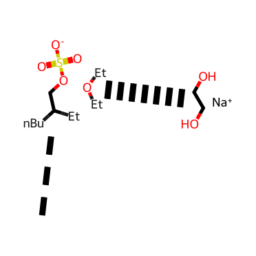 C=C.C=C.C=C.C=C.C=C.C=C.C=C.C=C.C=C.C=C.CCCCC(CC)COS(=O)(=O)[O-].CCOCC.OCCO.[Na+]